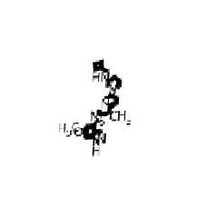 COc1cc(-c2ncc(C(C)c3ccc(N4CCC[C@@H](NCC5CCC5)C4)cn3)s2)c2cn[nH]c2c1